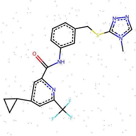 Cn1cnnc1SCc1cccc(NC(=O)c2cc(C3CC3)cc(C(F)(F)F)n2)c1